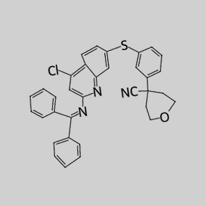 N#CC1(c2cccc(Sc3ccc4c(Cl)cc(N=C(c5ccccc5)c5ccccc5)nc4c3)c2)CCOCC1